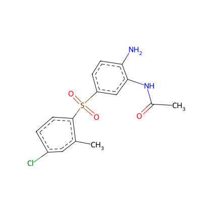 CC(=O)Nc1cc(S(=O)(=O)c2ccc(Cl)cc2C)ccc1N